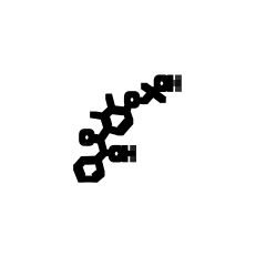 Cc1c(OCC(C)(C)O)ccc(C(=O)C(O)c2ccccc2)c1C